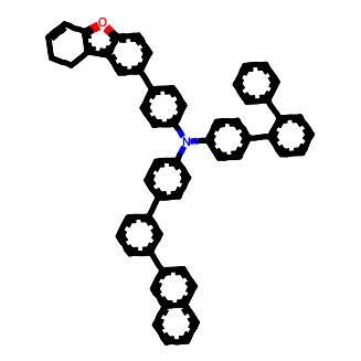 C1=Cc2oc3ccc(-c4ccc(N(c5ccc(-c6cccc(-c7ccc8ccccc8c7)c6)cc5)c5ccc(-c6ccccc6-c6ccccc6)cc5)cc4)cc3c2CC1